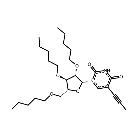 CC#Cc1cn([C@@H]2O[C@H](COCCCCC)[C@@H](OCCCCC)[C@@H]2OCCCCC)c(=O)[nH]c1=O